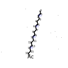 C/C=C/CC/C=C/CC/C=C/CC/C=C/CCC(C)=O